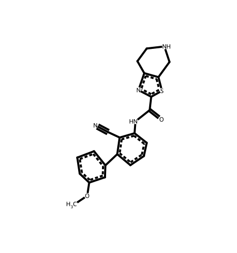 COc1cccc(-c2cccc(NC(=O)c3nc4c(s3)CNCC4)c2C#N)c1